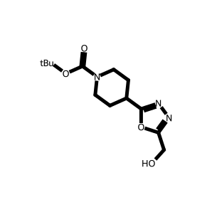 CC(C)(C)OC(=O)N1CCC(c2nnc(CO)o2)CC1